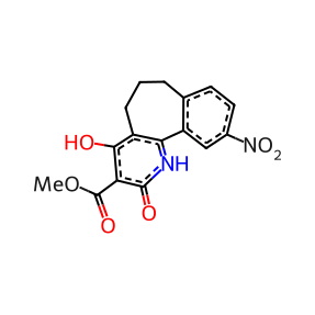 COC(=O)c1c(O)c2c([nH]c1=O)-c1cc([N+](=O)[O-])ccc1CCC2